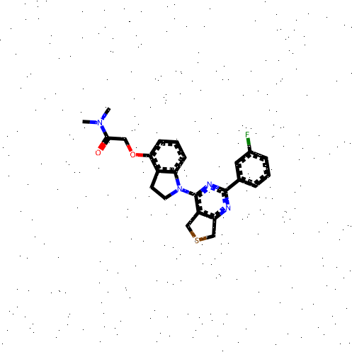 CN(C)C(=O)COc1cccc2c1CCN2c1nc(-c2cccc(F)c2)nc2c1CSC2